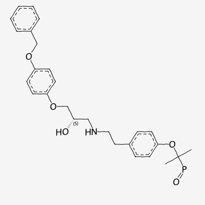 CC(C)(Oc1ccc(CCNC[C@H](O)COc2ccc(OCc3ccccc3)cc2)cc1)P=O